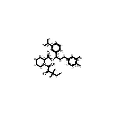 CCC(C)(C)C(=O)C(=O)N1CCCCC1C(=O)OC(CCc1ccc(C)c(C)c1)c1cccc(C(C)C)c1